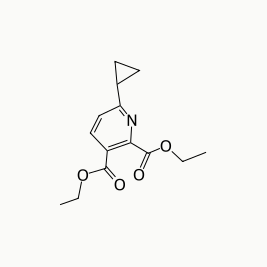 CCOC(=O)c1ccc(C2CC2)nc1C(=O)OCC